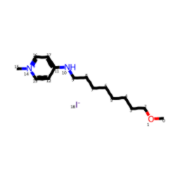 COCCCCCCCCNc1cc[n+](C)cc1.[I-]